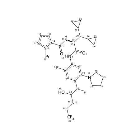 CC(c1cc(F)c(NC(=O)[C@@H](NC(=O)c2ccnn2C(C)C)C(C2CC2)C2CC2)cc1N1CCCC1)C(O)NCC(F)(F)F